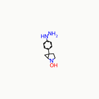 NNc1ccc(C23CCN(O)C2C3)cc1